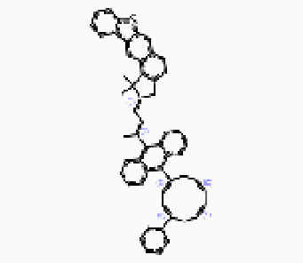 C/C(=C\C=C1/Cc2ccc3cc4sc5ccccc5c4cc3c2C1(C)C)c1c2ccccc2c(/C2=C/C=C(/c3ccccc3)C/C=C\C=C/C2)c2ccccc12